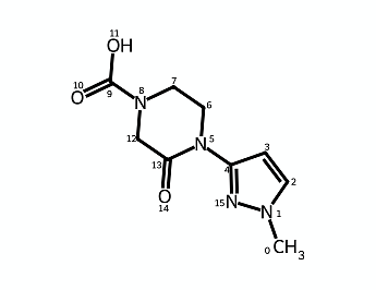 Cn1ccc(N2CCN(C(=O)O)CC2=O)n1